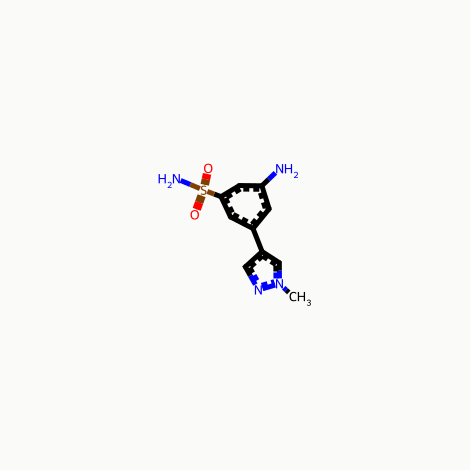 Cn1cc(-c2cc(N)cc(S(N)(=O)=O)c2)cn1